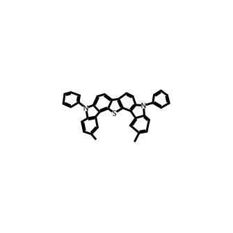 Cc1ccc2c(c1)c1c3sc4c(ccc5c4c4cc(C)ccc4n5-c4ccccc4)c3ccc1n2-c1ccccc1